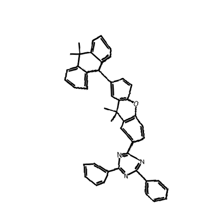 CC1(C)c2cc(-c3nc(-c4ccccc4)nc(-c4ccccc4)n3)ccc2Oc2ccc(C3c4ccccc4C(C)(C)c4ccccc43)cc21